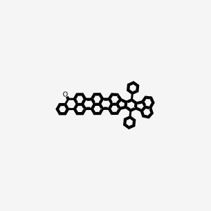 O=C1c2ccccc2-c2ccc3c4ccc5c6ccc7c8c(-c9ccccc9)c9c%10cccc%11cccc(c9c(-c9ccccc9)c8c8ccc(c9ccc(c%12ccc1c2c%123)c4c95)c6c87)c%11%10